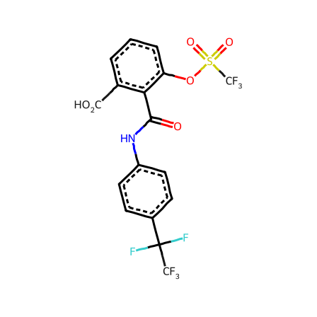 O=C(O)c1cccc(OS(=O)(=O)C(F)(F)F)c1C(=O)Nc1ccc(C(F)(F)C(F)(F)F)cc1